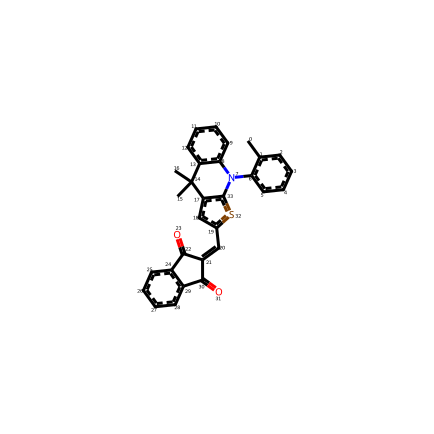 Cc1ccccc1N1c2ccccc2C(C)(C)c2cc(C=C3C(=O)c4ccccc4C3=O)sc21